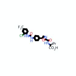 CC(C)[C@H](NC(=O)c1ncc(-c2ccc(NC(=O)Nc3ccc(C(F)(F)F)cc3Cl)cc2)o1)C(=O)O